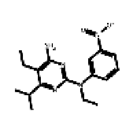 CCc1c(N)nc(N(CC)c2cccc([N+](=O)[O-])c2)nc1C(C)C